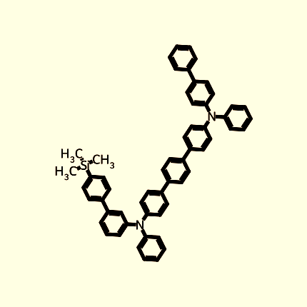 C[Si](C)(C)c1ccc(-c2cccc(N(c3ccccc3)c3ccc(-c4ccc(-c5ccc(N(c6ccccc6)c6ccc(-c7ccccc7)cc6)cc5)cc4)cc3)c2)cc1